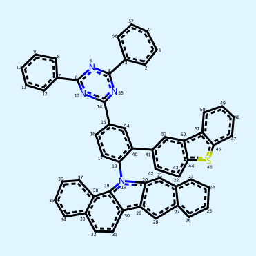 c1ccc(-c2nc(-c3ccccc3)nc(-c3ccc(-n4c5cc6ccccc6cc5c5ccc6ccccc6c54)c(-c4ccc5sc6ccccc6c5c4)c3)n2)cc1